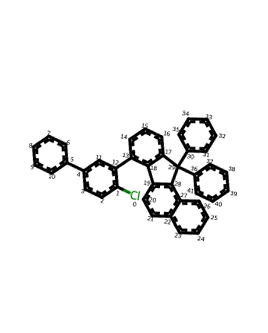 Clc1ccc(-c2ccccc2)cc1-c1cccc2c1-c1ccc3ccccc3c1C2(c1ccccc1)c1ccccc1